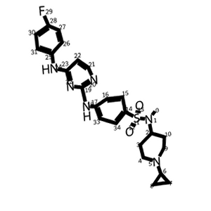 CN(C1CCN(C2CC2)CC1)S(=O)(=O)c1ccc(Nc2nccc(Nc3ccc(F)cc3)n2)cc1